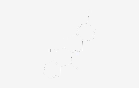 C=C(C1=CCCC=C1)/C(=C/c1ccc(Cl)cc1Cl)CN